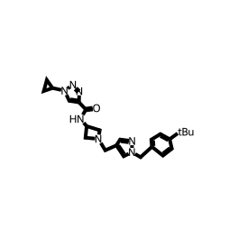 CC(C)(C)c1ccc(Cn2cc(CN3CC(NC(=O)c4cn(C5CC5)nn4)C3)cn2)cc1